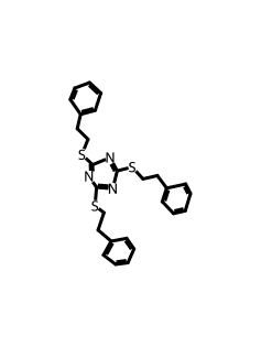 c1ccc(CCSc2nc(SCCc3ccccc3)nc(SCCc3ccccc3)n2)cc1